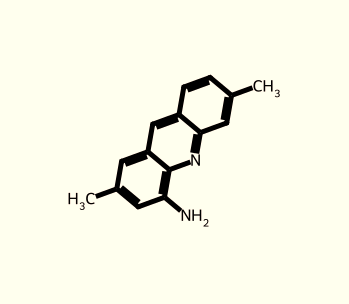 Cc1cc(N)c2nc3cc(C)ccc3cc2c1